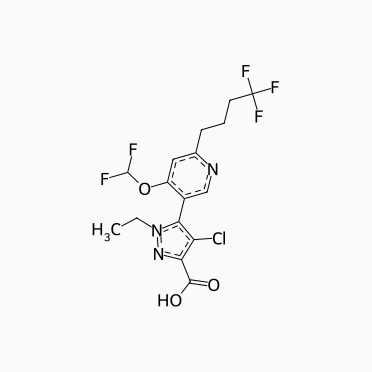 CCn1nc(C(=O)O)c(Cl)c1-c1cnc(CCCC(F)(F)F)cc1OC(F)F